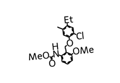 CCc1cc(Cl)c(OCc2c(NC(=O)OC)cccc2OC)cc1C